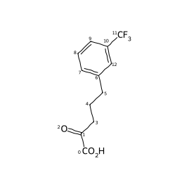 O=C(O)C(=O)CCCc1cccc(C(F)(F)F)c1